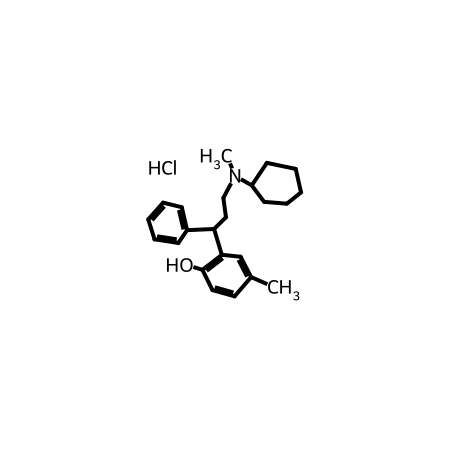 Cc1ccc(O)c(C(CCN(C)C2CCCCC2)c2ccccc2)c1.Cl